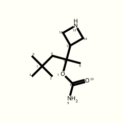 CC(C)(C)CC(C)(OC(N)=O)C1CNC1